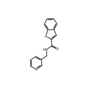 O=C(NCc1cccnc1)c1cc2ccccc2o1